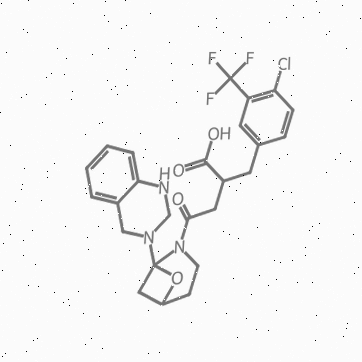 O=C(O)C(CC(=O)N1CCC2CC1(N1CNc3ccccc3C1)O2)Cc1ccc(Cl)c(C(F)(F)F)c1